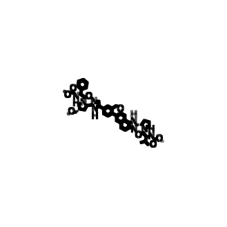 COC[C@H]1CC(c2ncc(-c3ccc4c(c3)COc3cc5c(ccc6nc([C@@H]7CC[C@H](C)N7C(=O)[C@@H](NC(=O)OC)C(C)C)[nH]c65)cc3-4)[nH]2)N(C(=O)[C@H](NC(=O)OC)c2ccccc2)C1